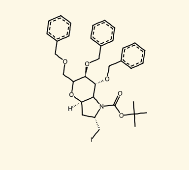 CC(C)(C)OC(=O)N1C2[C@@H](OCc3ccccc3)[C@H](OCc3ccccc3)C(COCc3ccccc3)O[C@@H]2C[C@H]1CI